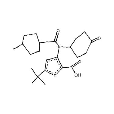 CC1CCC(C(=O)N(c2cc(C(C)(C)C)sc2C(=O)O)C2CCC(=O)CC2)CC1